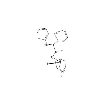 C[N+]12CCC(CC1)[C@@H](OC(=O)[C@@H](Nc1ccccc1)c1ccccc1)C2